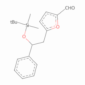 CC(C)(C)[Si](C)(C)OC(Cc1ccc(C=O)o1)c1ccccc1